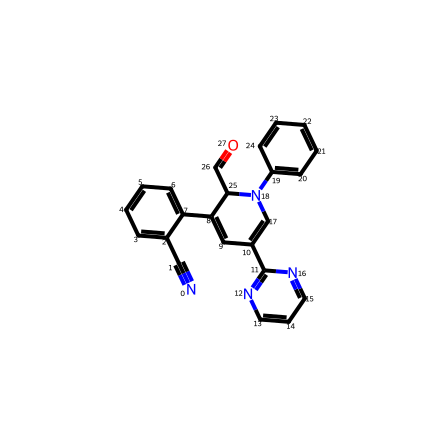 N#Cc1ccccc1C1=CC(c2ncccn2)=CN(c2ccccc2)C1C=O